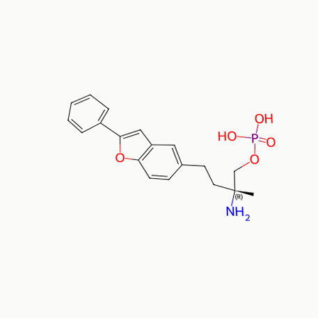 C[C@@](N)(CCc1ccc2oc(-c3ccccc3)cc2c1)COP(=O)(O)O